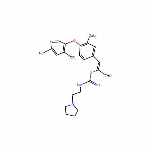 COc1cc(/C=C(/C=O)SC(=N)NCCN2CCCC2)ccc1Oc1ccc(C#N)cc1C(F)(F)F